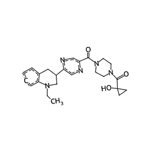 CCN1CC(c2cnc(C(=O)N3CCN(C(=O)C4(O)CC4)CC3)cn2)Cc2ccccc21